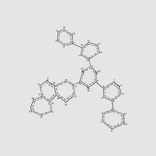 c1ccc(-c2cccc(-c3nc(-c4cccc(-c5ccccc5)c4)nc(-c4ccc5c(ccc6ccccc65)c4)n3)c2)cc1